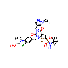 CN(CCO)c1ccc(Cn2c(=O)n(Cc3cnn(C)c3)c(=O)c3cc(S(=O)(=O)NC4(C)CC4)sc32)cc1F